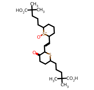 CC(C)(CCCC1CCC(=O)C(C=CC2CCCC(CCCC(C)(C)C(=O)O)[S+]2[O-])S1)C(=O)O